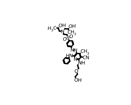 Cc1c(C#N)c(NCCOCCO)nc(Nc2ccccc2)c1/N=N/c1ccc(S(=O)(=O)CCN(CC(C)O)CC(C)O)cc1